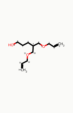 C=CCOCC(CCCO)COCC=C